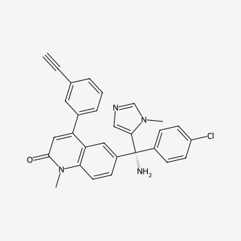 C#Cc1cccc(-c2cc(=O)n(C)c3ccc([C@](N)(c4ccc(Cl)cc4)c4cncn4C)cc23)c1